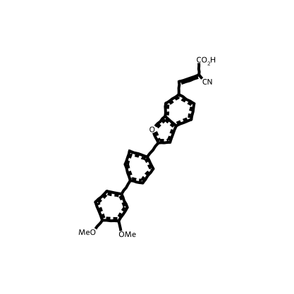 COc1ccc(-c2ccc(-c3cc4ccc(/C=C(\C#N)C(=O)O)cc4o3)cc2)cc1OC